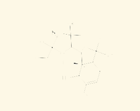 CCCC(C)(C)C1CC=C(C(C)C)C(O)[C@]1(C)CC(OC(O)(CO)CO)C(C)(C)O